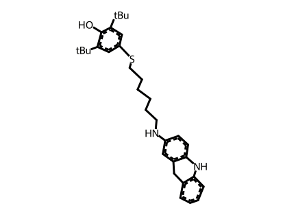 CC(C)(C)c1cc(SCCCCCCNc2ccc3c(c2)Cc2ccccc2N3)cc(C(C)(C)C)c1O